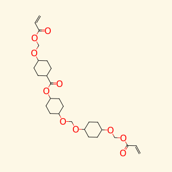 C=CC(=O)OCOC1CCC(OCOC2CCC(OC(=O)C3CCC(OCOC(=O)C=C)CC3)CC2)CC1